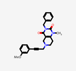 COc1cccc(C#CCN2CCc3c(c(=O)n(Cc4ccccc4)c(=O)n3C)C2)c1